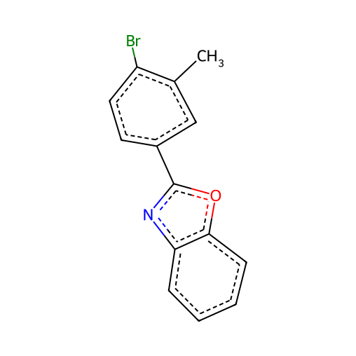 Cc1cc(-c2nc3ccccc3o2)ccc1Br